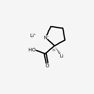 [Li+].[Li][C@@]1(C(=O)O)CCC[N-]1